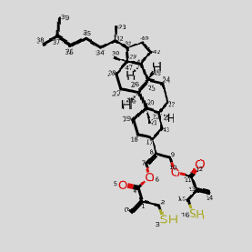 C=C(CS)C(=O)O/C=C(\COC(=O)C(=C)CS)[C@H]1CC[C@@]2(C)[C@@H](CC[C@@H]3[C@@H]2CC[C@]2(C)[C@@H]([C@H](C)CCCC(C)C)CC[C@@H]32)C1